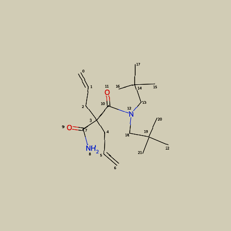 C=CCC(CC=C)(C(N)=O)C(=O)N(CC(C)(C)C)CC(C)(C)C